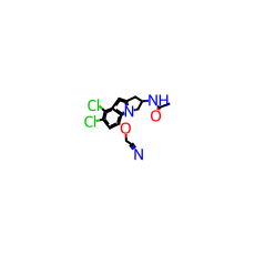 CC(=O)NC1Cc2cc3c(Cl)c(Cl)cc(OCC#N)c3n2C1